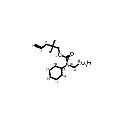 C=CCC(C)(C)COC(=O)N(CC(=O)O)C1CCCCC1